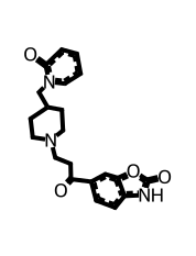 O=C(CCN1CCC(Cn2ccccc2=O)CC1)c1ccc2[nH]c(=O)oc2c1